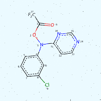 O=C(ON(c1cccc(Cl)c1)c1ccncn1)C(F)(F)F